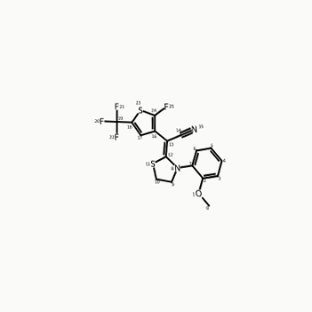 COc1ccccc1N1CCSC1=C(C#N)c1cc(C(F)(F)F)sc1F